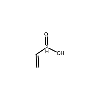 C=C[PH](=O)O